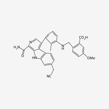 COc1ccc(CNc2cccc(-c3cnc(C(N)=O)c4[nH]c5cc(CC#N)ccc5c34)c2C)c(C(=O)O)c1